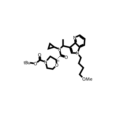 COCCCCn1cc(C(C)N(C(=O)[C@H]2CN(C(=O)OC(C)(C)C)CCO2)C2CC2)c2ncccc21